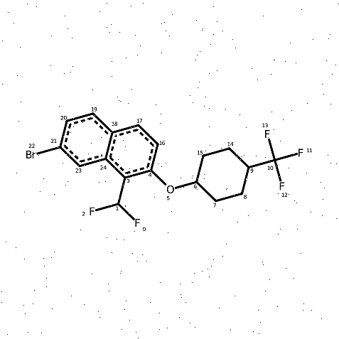 FC(F)c1c(OC2CCC(C(F)(F)F)CC2)ccc2ccc(Br)cc12